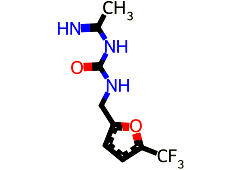 CC(=N)NC(=O)NCc1ccc(C(F)(F)F)o1